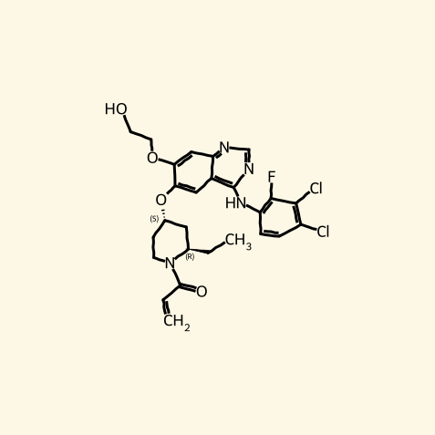 C=CC(=O)N1CC[C@H](Oc2cc3c(Nc4ccc(Cl)c(Cl)c4F)ncnc3cc2OCCO)C[C@H]1CC